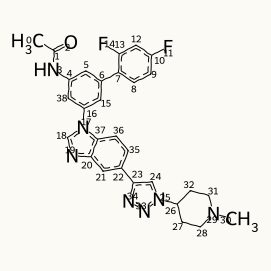 CC(=O)Nc1cc(-c2ccc(F)cc2F)cc(-n2cnc3cc(-c4cn(C5CCN(C)CC5)nn4)ccc32)c1